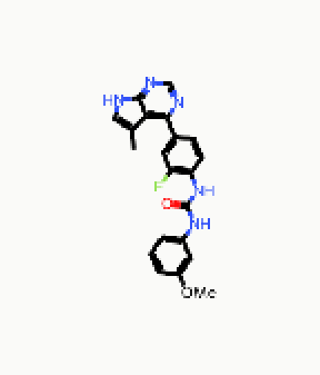 COc1cccc(NC(=O)Nc2ccc(-c3ncnc4[nH]cc(C)c34)cc2F)c1